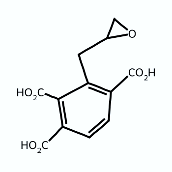 O=C(O)c1ccc(C(=O)O)c(C(=O)O)c1CC1CO1